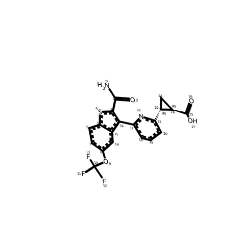 NC(=O)c1sc2ccc(OC(F)(F)F)cc2c1-c1cccc([C@@H]2C[C@H]2C(=O)O)n1